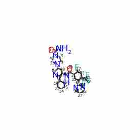 NC(=O)N1CCN(c2cnc(-c3ccccc3)c(NC(=O)c3cc(-c4ncccn4)c(C(F)(F)F)cc3F)c2)CC1